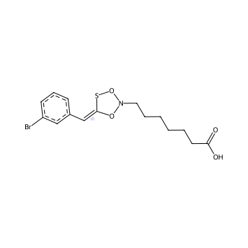 O=C(O)CCCCCCN1OS/C(=C\c2cccc(Br)c2)O1